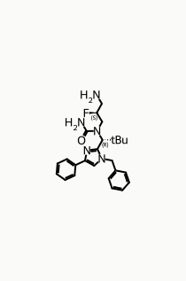 CC(C)(C)[C@H](c1nc(-c2ccccc2)cn1Cc1ccccc1)N(C[C@@H](F)CN)C(N)=O